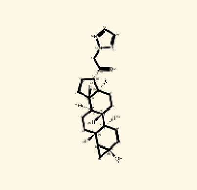 C[C@]12CC[C@@H]3[C@H]4CC[C@]5(O)CC5[C@@H]4CC[C@H]3[C@@H]1CC[C@@H]2C(=O)Cn1nccn1